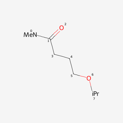 CNC(=O)CCCOC(C)C